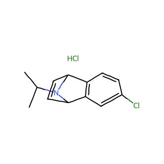 CC(C)N1C2C=CC1c1cc(Cl)ccc12.Cl